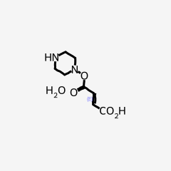 O.O=C(O)/C=C/C(=O)ON1CCNCC1